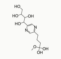 COC(O)(O)CCCc1cnc(C(O)C(O)C(O)CO)cn1